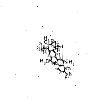 [2H]C([2H])([2H])N1C(=O)C(C)N(C([2H])([2H])[2H])c2cc3c(C)nnc(N[C@H](C)c4cccc(C(F)F)c4F)c3cc21